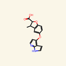 CC1c2cc(Oc3ccnc4[nH]ccc34)ccc2OC1C(=O)O